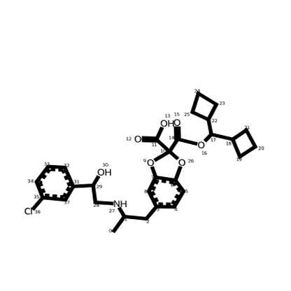 CC(Cc1ccc2c(c1)OC(C(=O)O)(C(=O)OC(C1CCC1)C1CCC1)O2)NCC(O)c1cccc(Cl)c1